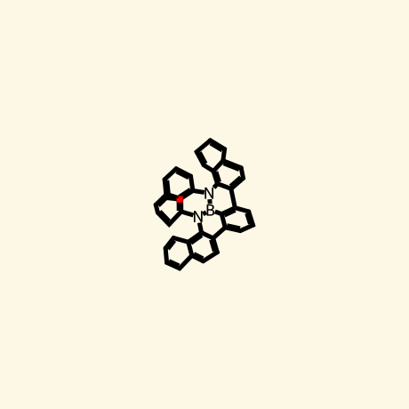 c1ccc(N2B3c4c(cccc4-c4ccc5ccccc5c4N3c3ccccc3)-c3ccc4ccccc4c32)cc1